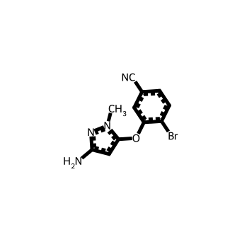 Cn1nc(N)cc1Oc1cc(C#N)ccc1Br